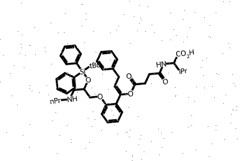 CCCNCC(COc1ccccc1/C(=C/Cc1ccccc1)OC(=O)CCC(=O)NC(C(=O)O)C(C)C)O[Si](c1ccccc1)(c1ccccc1)C(C)(C)C